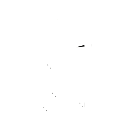 CC[C@@H](c1cc(N)n2nccc2n1)C1CC1